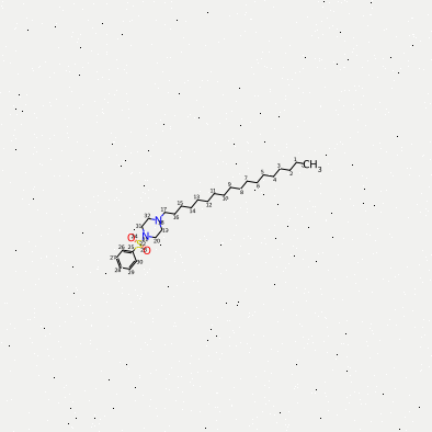 CCCCCCCCCCCCCCCCCCN1CCN(S(=O)(=O)c2ccccc2)CC1